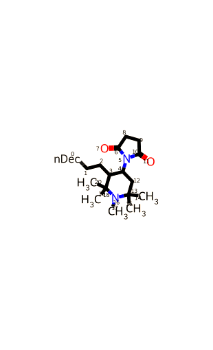 CCCCCCCCCCCCC1C(N2C(=O)CCC2=O)CC(C)(C)N(C)C1(C)C